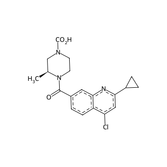 C[C@H]1CN(C(=O)O)CCN1C(=O)c1ccc2c(Cl)cc(C3CC3)nc2c1